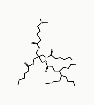 CCCCCC(=O)OCC(COC(=O)CCCCC)(COC(=O)CCCCN(C)C)COC(=O)CCC(CCCC)C(CCCC)CCCC